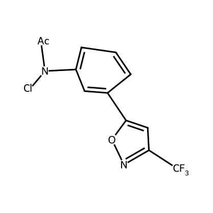 CC(=O)N(Cl)c1cccc(-c2cc(C(F)(F)F)no2)c1